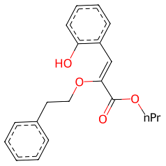 CCCOC(=O)C(=Cc1ccccc1O)OCCc1ccccc1